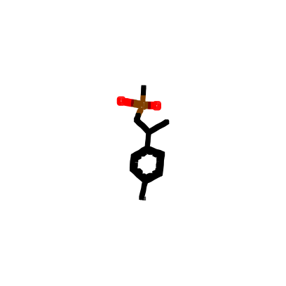 [CH2]c1ccc(C(C)CS(C)(=O)=O)cc1